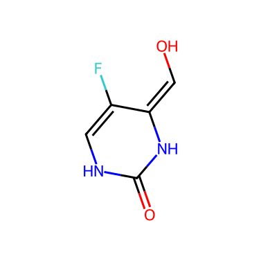 O=C1NC=C(F)/C(=C\O)N1